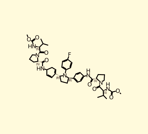 COC(=O)N[C@H](C(=O)N1CCC[C@H]1C(=O)Nc1ccc([C@H]2CC[C@H](C3=CCC(NC(=O)[C@@H]4CCCN4C(=O)[C@@H](NC(=O)OC)C(C)C)C=C3)N2c2ccc(F)cc2)cc1)C(C)C